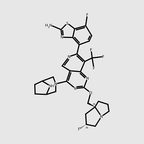 Nc1nc2c(-c3ncc4c(N5CC6CCC(C5)N6)nc(OC[C@@]56CCCN5C[C@H](F)C6)nc4c3C(F)(F)F)ccc(F)c2s1